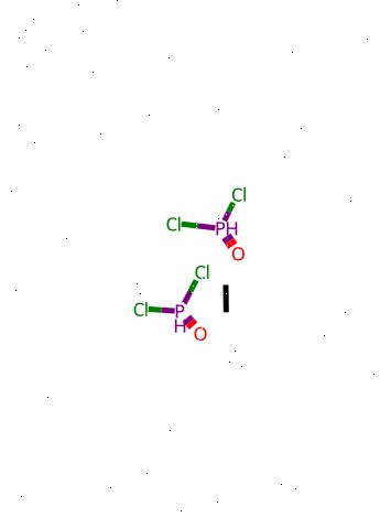 CC.O=[PH](Cl)Cl.O=[PH](Cl)Cl